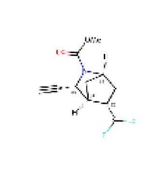 C#C[C@H]1[C@H]2C[C@H](C[C@@H]2C(F)F)N1C(=O)OC